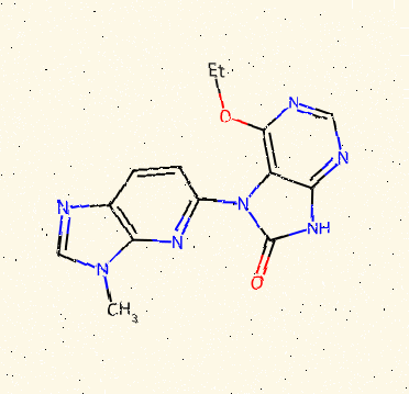 CCOc1ncnc2[nH]c(=O)n(-c3ccc4ncn(C)c4n3)c12